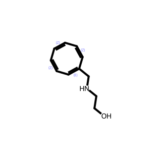 OCCNCC1=C/C=C\C=C/C=C\1